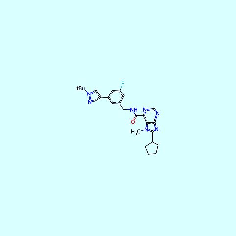 Cn1c(C2CCCC2)nc2ncnc(C(=O)NCc3cc(F)cc(-c4cnn(C(C)(C)C)c4)c3)c21